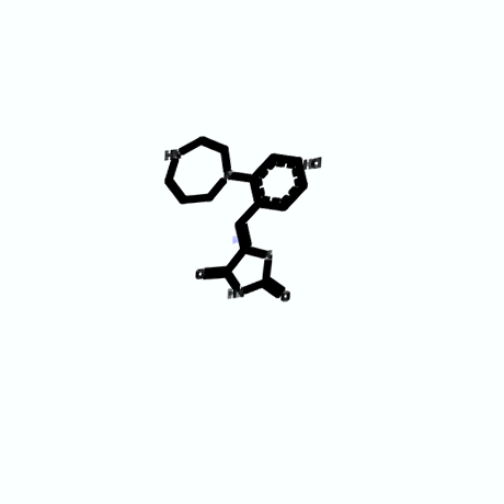 Cl.O=C1NC(=O)/C(=C/c2ccccc2N2CCCNCC2)S1